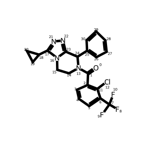 O=C(c1cccc(C(F)(F)F)c1Cl)N1CCn2c(C3CC3)nnc2C1c1ccccc1